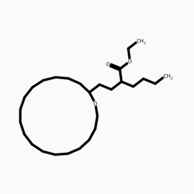 [CH2]CCCC(CC[C]1CCCCCCCCCCCCCCCCCO1)C(=O)OCC